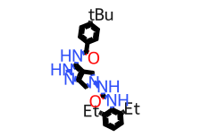 CCc1cccc(CC)c1NC(=O)NN1Cc2n[nH]c(NC(=O)c3ccc(C(C)(C)C)cc3)c2C1